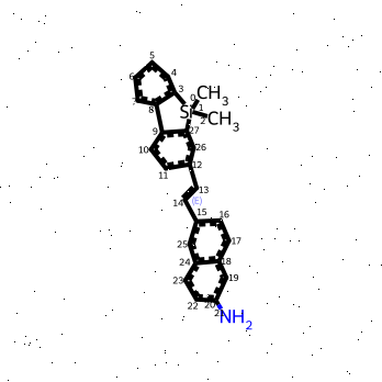 C[Si]1(C)c2ccccc2-c2ccc(/C=C/c3ccc4cc(N)ccc4c3)cc21